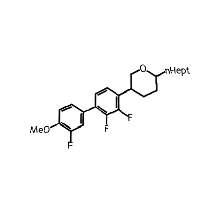 CCCCCCCC1CCC(c2ccc(-c3ccc(OC)c(F)c3)c(F)c2F)CO1